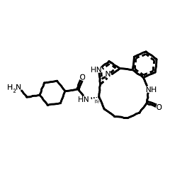 NCC1CCC(C(=O)N[C@H]2CCCCC(=O)Nc3ccccc3-c3c[nH]c2n3)CC1